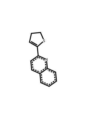 C1=C(c2ccc3ccccc3n2)SCC1